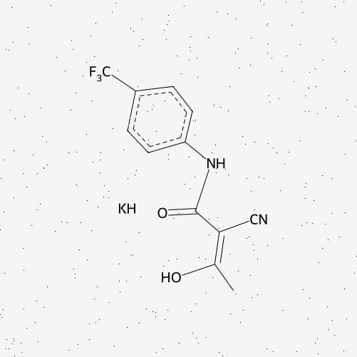 C/C(O)=C(\C#N)C(=O)Nc1ccc(C(F)(F)F)cc1.[KH]